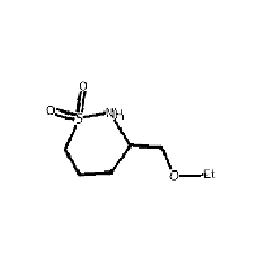 CCOCC1CCCS(=O)(=O)N1